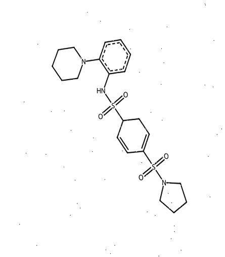 O=S(=O)(Nc1ccccc1N1CCCCC1)C1C=CC(S(=O)(=O)N2CCCC2)=CC1